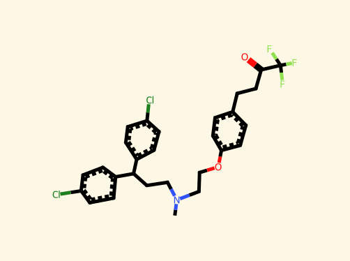 CN(CCOc1ccc(CCC(=O)C(F)(F)F)cc1)CCC(c1ccc(Cl)cc1)c1ccc(Cl)cc1